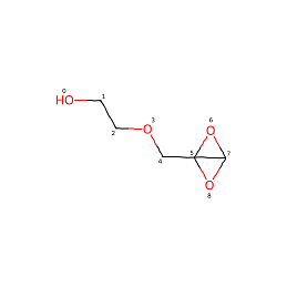 OCCOCC12OC1O2